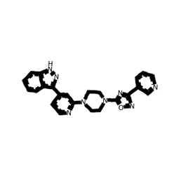 c1cncc(-c2noc(N3CCN(c4cc(-c5n[nH]c6ccccc56)ccn4)CC3)n2)c1